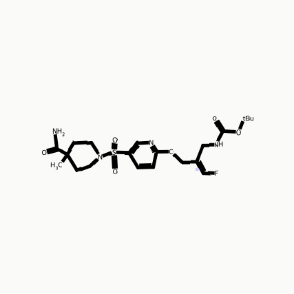 CC(C)(C)OC(=O)NC/C(=C\F)COc1ccc(S(=O)(=O)N2CCC(C)(C(N)=O)CC2)cn1